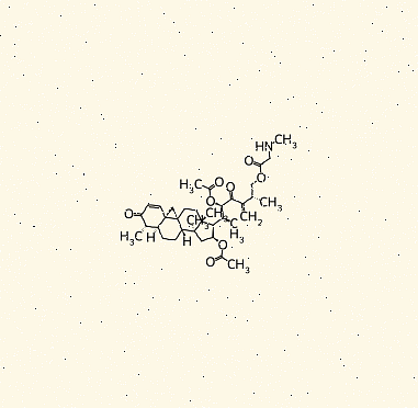 C=C(C(=O)[C@H](OC(C)=O)[C@@H](C)[C@H]1[C@@H](OC(C)=O)C[C@@]2(C)[C@@H]3CC[C@H]4[C@H](C)C(=O)C=C[C@@]45C[C@@]35CC[C@]12C)[C@@H](C)COC(=O)CNC